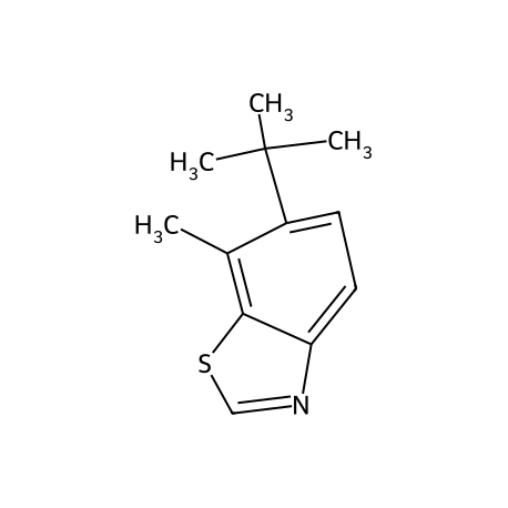 Cc1c(C(C)(C)C)ccc2ncsc12